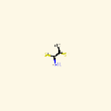 [CH2]CC(S)C(N)S